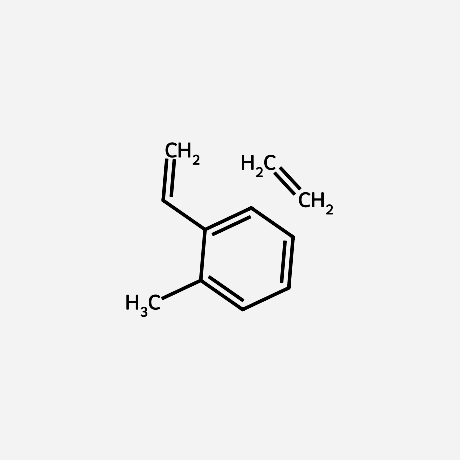 C=C.C=Cc1ccccc1C